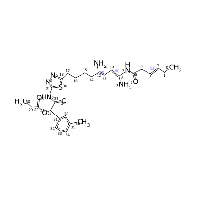 CC/C=C/CC(=O)N/C(N)=C/C=C(\N)CCCCc1nnc(NC(=O)C(OC(=O)CC)c2cccc(C)c2)s1